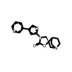 O=C1O[C@]2(CN3CCC2CC3)CN1c1cc(-c2cccnc2)cs1